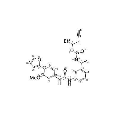 C#CCC(CC)OC(=O)N[C@@H](C)c1cccc(NC(=O)Nc2ccc(-c3cnco3)c(OC)c2)c1